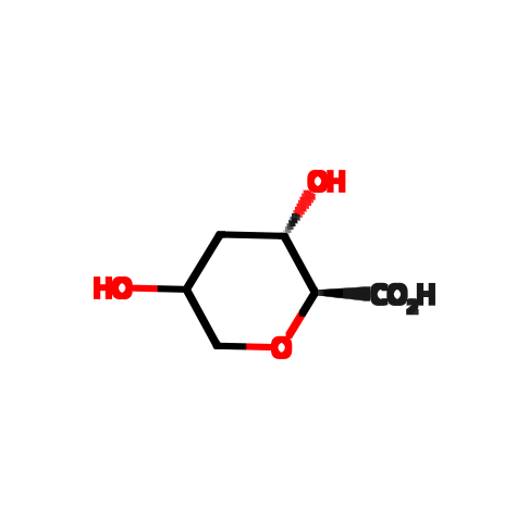 O=C(O)[C@H]1OCC(O)C[C@@H]1O